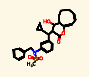 CS(=O)(=O)N(Cc1ccccc1)c1cccc(C(C2CC2)C2C(=O)OC3=CC=CCCCC3C2O)c1